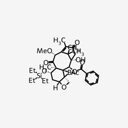 CC[Si](CC)(CC)O[C@H]1C[C@H]2OC[C@]23B(C(C)=O)[C@@]32[C@H](OC(=O)c3ccccc3)[C@]3(O)CC(=O)C(C)=C([C@@H](OC)C(=O)[C@]12C)C3(C)C